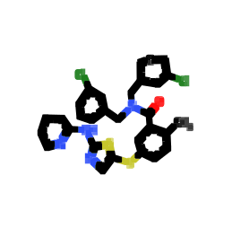 Cc1ccc(Sc2cnc(Nc3ccccn3)s2)cc1C(=O)N(Cc1cccc(Cl)c1)Cc1cccc(Cl)c1